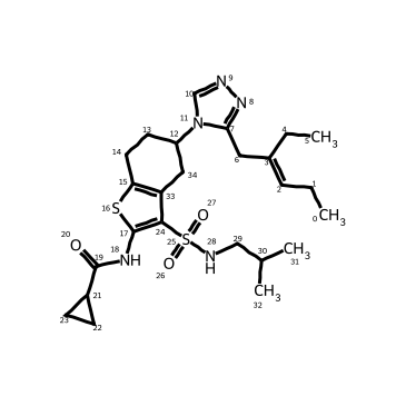 CC/C=C(\CC)Cc1nncn1C1CCc2sc(NC(=O)C3CC3)c(S(=O)(=O)NCC(C)C)c2C1